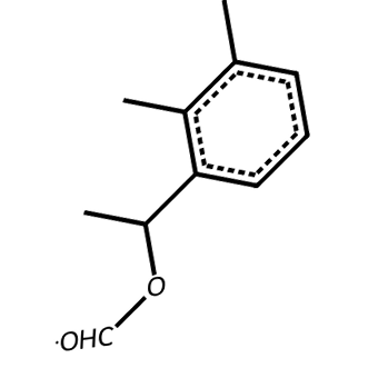 Cc1cccc(C(C)O[C]=O)c1C